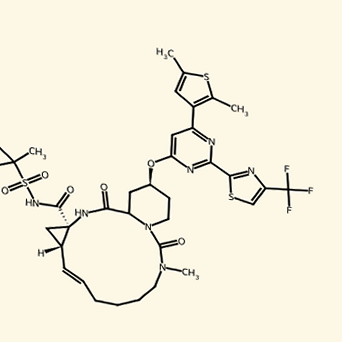 Cc1cc(-c2cc(O[C@H]3CCN4C(=O)N(C)CCCC/C=C/[C@@H]5C[C@@]5(C(=O)NS(=O)(=O)C5(C)CC5)NC(=O)C4C3)nc(-c3nc(C(F)(F)F)cs3)n2)c(C)s1